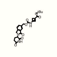 CC(C)(C)OC(=O)C12CC(NC(=O)OCc3ccc4c(c3)C(=O)N(C3CCC(=O)NC3=O)C4)(C1)C2